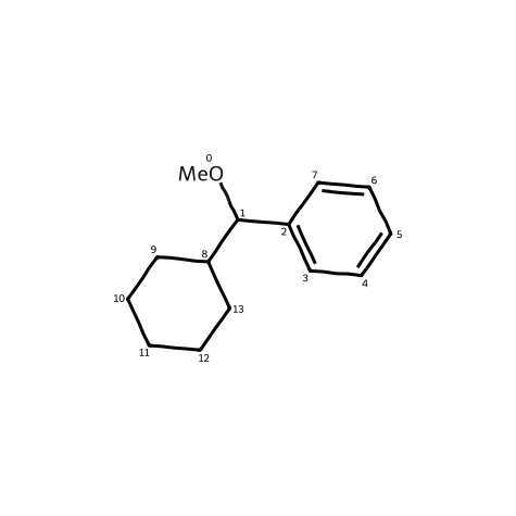 COC(c1ccccc1)C1CCCCC1